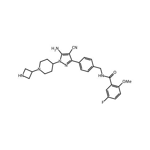 COc1ccc(F)cc1C(=O)NCc1ccc(-c2nn(C3CCN(C4CNC4)CC3)c(N)c2C#N)cc1